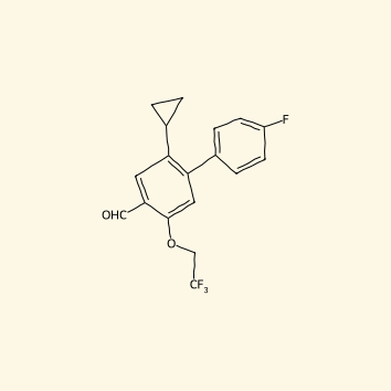 O=Cc1cc(C2CC2)c(-c2ccc(F)cc2)cc1OCC(F)(F)F